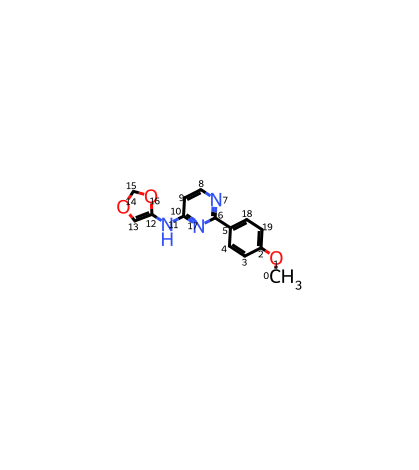 COc1ccc(-c2nccc(NC3=COCO3)n2)cc1